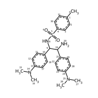 Cc1ccc(S(=O)(=O)NC(c2ccc(N(C)C)cc2)C(N)c2ccc(N(C)C)cc2)cc1